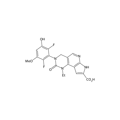 CCN1C(=O)N(c2c(F)c(O)cc(OC)c2F)Cc2cnc3[nH]c(C(=O)O)cc3c21